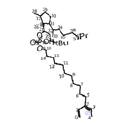 C=C/C(=C\C)CCCCCCCCCCCOP(=O)(O)OC(CCC(C)(C)C)[C@@]1(C)C(C)CCC1C(C)CCCC(C)C